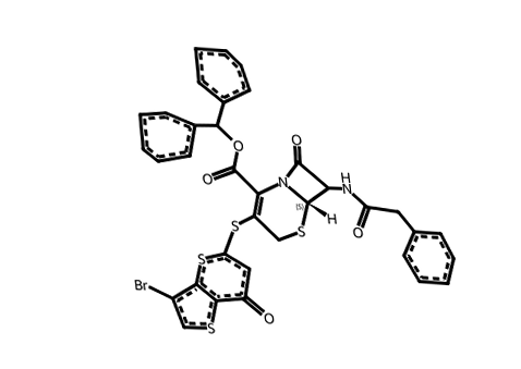 O=C(Cc1ccccc1)NC1C(=O)N2C(C(=O)OC(c3ccccc3)c3ccccc3)=C(Sc3cc(=O)c4scc(Br)c4s3)CS[C@@H]12